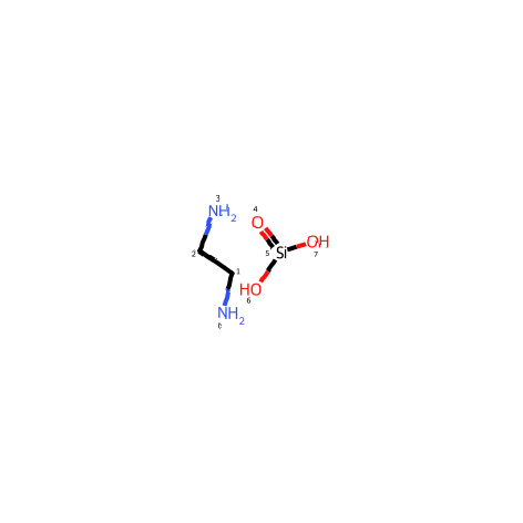 NCCN.O=[Si](O)O